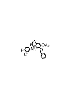 CC(=O)Oc1cc2ncnc(Nc3ccc(F)c(Cl)c3)c2cc1OCc1ccccc1